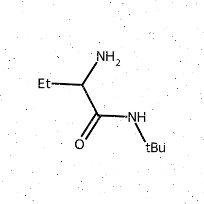 CCC(N)C(=O)NC(C)(C)C